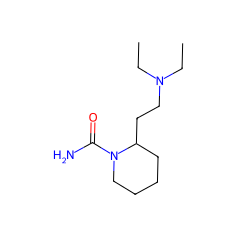 CCN(CC)CCC1CCCCN1C(N)=O